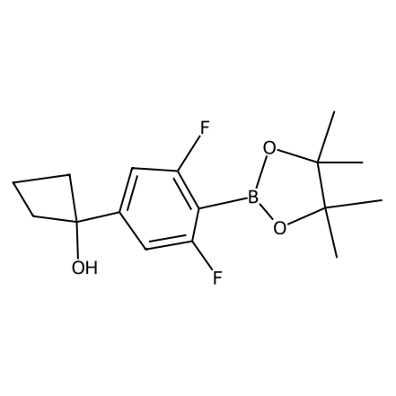 CC1(C)OB(c2c(F)cc(C3(O)CCC3)cc2F)OC1(C)C